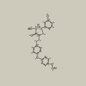 CC(=O)OOc1ccc(Oc2ccc(CCN(C[C@H](O)c3cccc(Cl)c3)C(=O)OC(C)(C)C)cc2)cc1